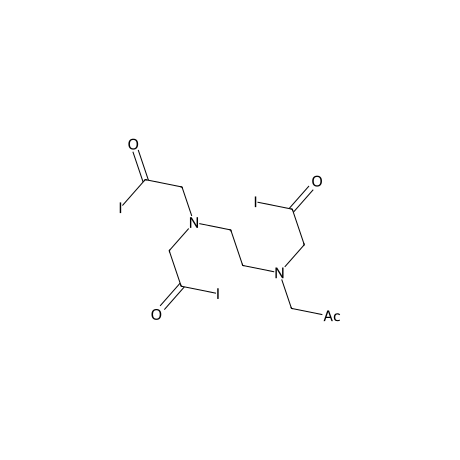 CC(=O)CN(CCN(CC(=O)I)CC(=O)I)CC(=O)I